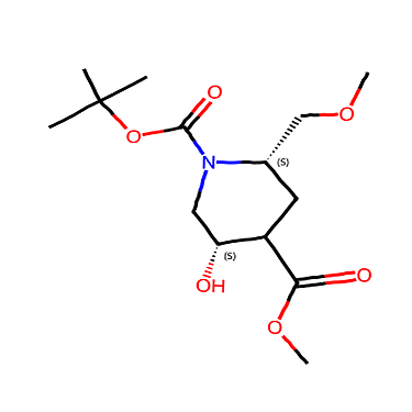 COC[C@@H]1CC(C(=O)OC)[C@H](O)CN1C(=O)OC(C)(C)C